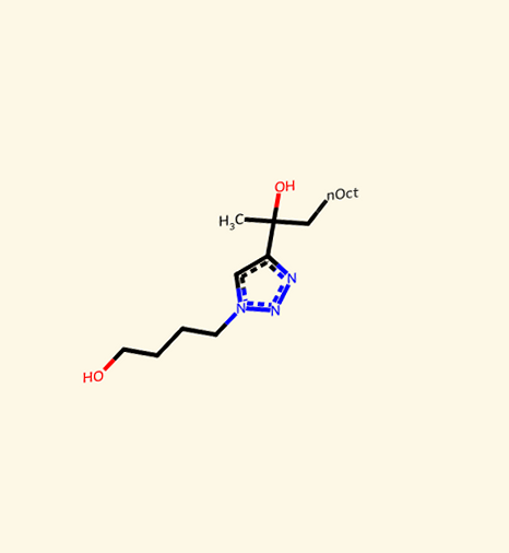 CCCCCCCCCC(C)(O)c1cn(CCCCO)nn1